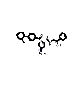 CO/N=C1\C[C@@H](C(=O)NC[C@H](O)c2ccccc2)N(C(=O)c2ccc(-c3ccccc3C)cc2)C1